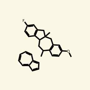 COc1ccc2c(c1)CC1(C)Cc3cc(F)ccc3C1CC2C.c1ccc2cccc-2cc1